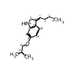 CCC/C=C1/CNc2cc(OCC(C)C)ccc21